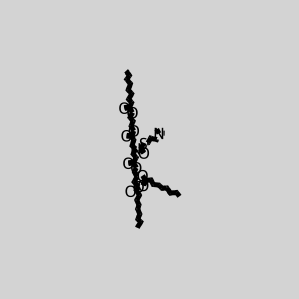 CCCCCCCCC(=O)OCCCOC(=O)CCN(CCC(=O)OCC(COC(=O)CCCCCCCC)OC(=O)CCCCCCCC)C(=O)SCCCN(C)C